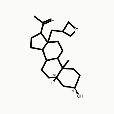 CC(=O)C1CCC2C3CC[C@H]4C[C@H](O)CCC4(C)C3CCC12CC1COC1